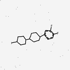 Fc1ccc(C2CCC(C3CCC(I)CC3)CC2)cc1F